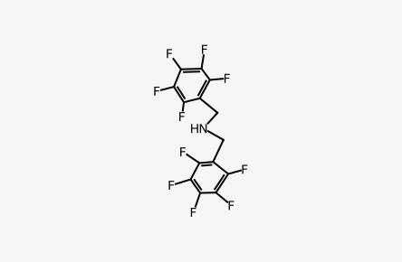 Fc1c(F)c(F)c(CNCc2c(F)c(F)c(F)c(F)c2F)c(F)c1F